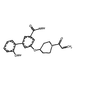 C=CC(=O)N1CCC(Oc2cc(C(=O)NC)cc(-c3ccccc3OC)c2)CC1